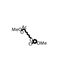 COC(=O)C(CCCCCCCOc1ccc(OC)cc1Cl)C(C)=O